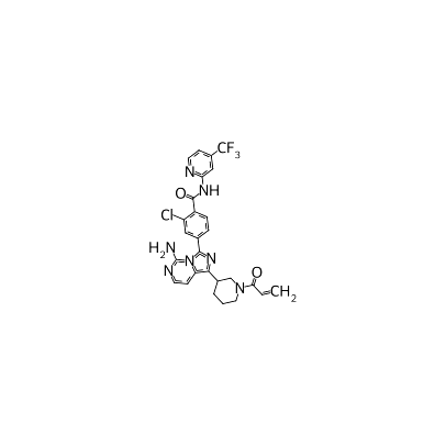 C=CC(=O)N1CCCC(c2nc(-c3ccc(C(=O)Nc4cc(C(F)(F)F)ccn4)c(Cl)c3)n3c(N)nccc23)C1